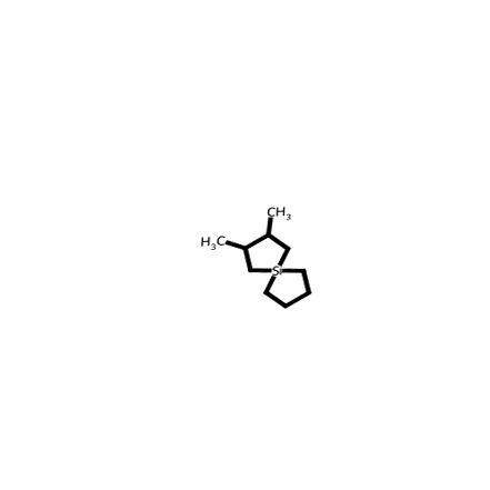 CC1C[Si]2(CCCC2)CC1C